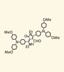 CCN/C(=C1/C(=O)N(CC)C(c2ccc(N(c3ccc(OC)cc3)c3ccc(OC)cc3)cc2)=C1C=O)c1ccc(N(c2ccc(OC)cc2)c2ccc(OC)cc2)cc1